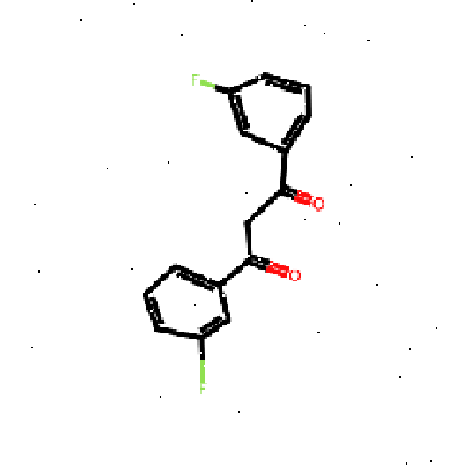 O=C(CC(=O)c1cccc(F)c1)c1cccc(F)c1